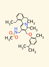 CCc1cccc(CC)c1-c1cc(CNS(C)(=O)=O)c(COc2cc(C(C)C)ccc2C)c(C)n1